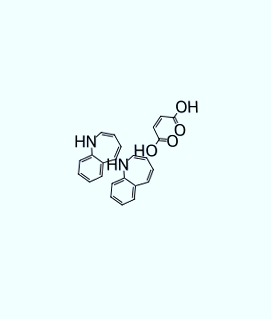 C1=CNc2ccccc2C=C1.C1=CNc2ccccc2C=C1.O=C(O)/C=C\C(=O)O